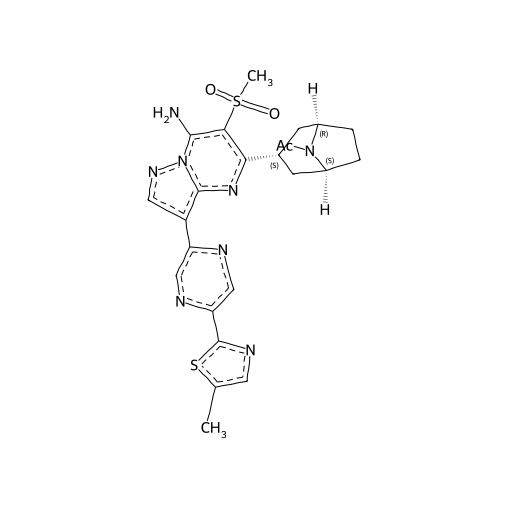 CC(=O)N1[C@@H]2CC[C@H]1C[C@H](c1nc3c(-c4cnc(-c5ncc(C)s5)cn4)cnn3c(N)c1S(C)(=O)=O)C2